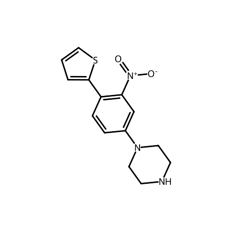 O=[N+]([O-])c1cc(N2CCNCC2)ccc1-c1cccs1